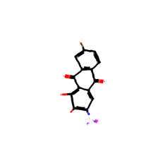 O=C1c2ccc(Br)cc2C(=O)c2c1cc([N+](=O)[O-])c(O)c2O